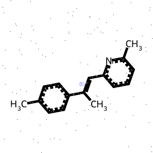 C/C(=C\c1cccc(C)n1)c1ccc(C)cc1